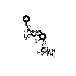 C[C@@H](Cn1ncc2ccc(OC[C@@H](CBr)O[Si](C)(C)C)c(Br)c21)NC(=O)OCc1ccccc1